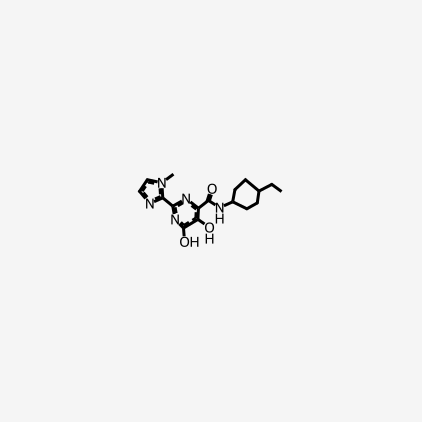 CCC1CCC(NC(=O)c2nc(-c3nccn3C)nc(O)c2O)CC1